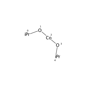 CC(C)[O][Co][O]C(C)C